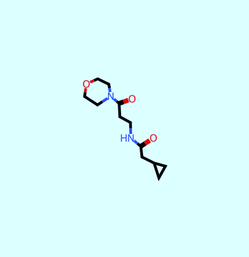 O=C(CC1CC1)NCCC(=O)N1CCOCC1